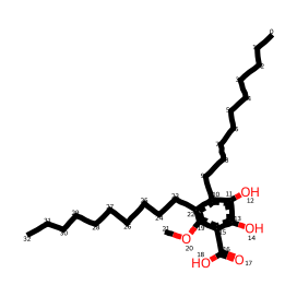 CCCCCCCCCCc1c(O)c(O)c(C(=O)O)c(OC)c1CCCCCCCCCC